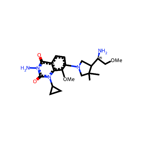 COC[C@H](N)C1CN(c2ccc3c(=O)n(N)c(=O)n(C4CC4)c3c2OC)CC1(C)C